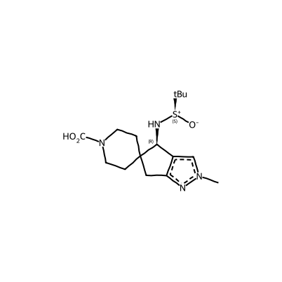 Cn1cc2c(n1)CC1(CCN(C(=O)O)CC1)[C@H]2N[S@+]([O-])C(C)(C)C